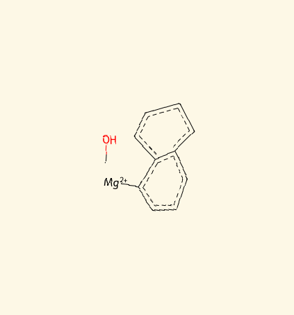 CO.[Mg+2][c]1cccc2ccccc12